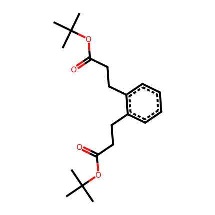 CC(C)(C)OC(=O)CCc1ccccc1CCC(=O)OC(C)(C)C